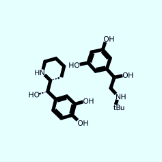 CC(C)(C)NCC(O)c1cc(O)cc(O)c1.Oc1ccc([C@H](O)[C@H]2CCCCN2)cc1O